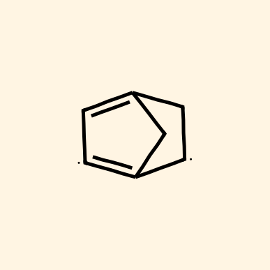 [C]1=C2[CH]CC(=C1)C2